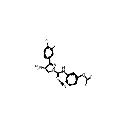 Cc1cc(C2=NN(/C(=N/C#N)Nc3cccc(OC(F)F)c3)CC2N)ccc1Cl